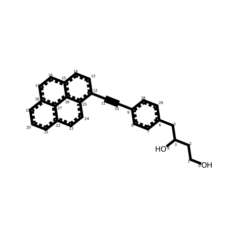 OCCC(O)Cc1ccc(C#Cc2ccc3ccc4cccc5ccc2c3c45)cc1